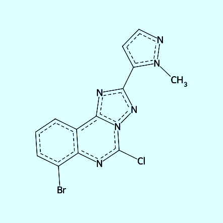 Cn1nccc1-c1nc2c3cccc(Br)c3nc(Cl)n2n1